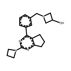 OC1CN(Cc2cccc(-c3nc(N4CCC4)nc4c3CCC4)c2)C1